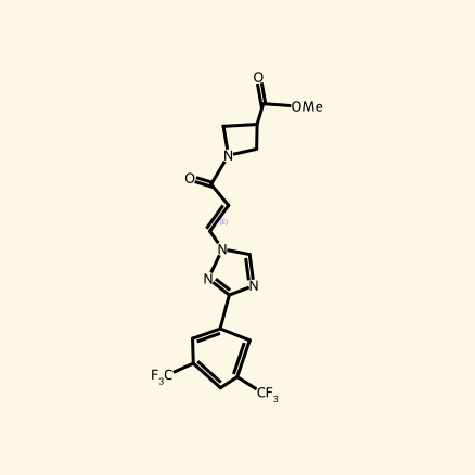 COC(=O)C1CN(C(=O)/C=C/n2cnc(-c3cc(C(F)(F)F)cc(C(F)(F)F)c3)n2)C1